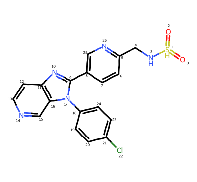 O=[SH](=O)NCc1ccc(-c2nc3ccncc3n2-c2ccc(Cl)cc2)cn1